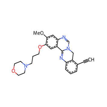 C#Cc1cccc2c1CN1C=Nc3cc(OC)c(OCCCN4CCOCC4)cc3C1=N2